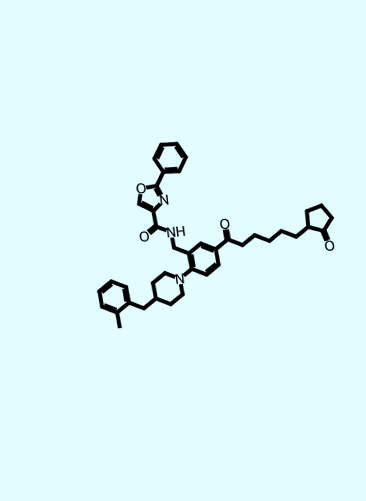 Cc1ccccc1CC1CCN(c2ccc(C(=O)CCCCCC3CCCC3=O)cc2CNC(=O)c2coc(-c3ccccc3)n2)CC1